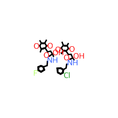 CC1=C(C)C(=O)C(CCC(C)(O)C(=O)NCCc2ccc(F)cc2)=C(C)C1=O.CC1=C(C)C(=O)C(CCC(C)(O)C(=O)NCCc2ccccc2Cl)=C(C)C1=O